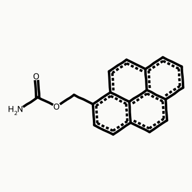 NC(=O)OCc1ccc2ccc3cccc4ccc1c2c34